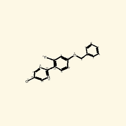 Fc1cc(OCc2ccccc2)ccc1-c1ncc(Cl)cn1